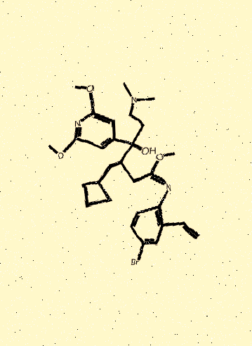 C=Cc1cc(Br)ccc1/N=C(\CC(CC1CCC1)C(O)(CCN(C)C)c1cc(OC)nc(OC)c1)OC